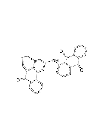 O=C1c2ccccc2C(=O)c2c(Nc3cc4c5c(cccc5c3)C(=O)c3ccccc3-4)cccc21